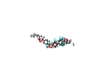 CCCC1CCC(C2CCC(C(F)(F)Oc3ccc(-c4cc(F)c(C(F)(F)OC(F)(F)F)c(F)c4)c(F)c3)CC2)OC1